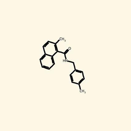 Cc1ccc(CNC(=O)c2c(C)ccc3ccccc23)cc1